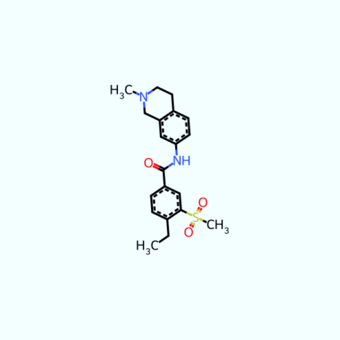 CCc1ccc(C(=O)Nc2ccc3c(c2)CN(C)CC3)cc1S(C)(=O)=O